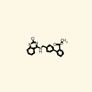 COC(=O)c1ccccc1-c1ccc(CNc2nc(Cl)nc3ccccc23)cc1